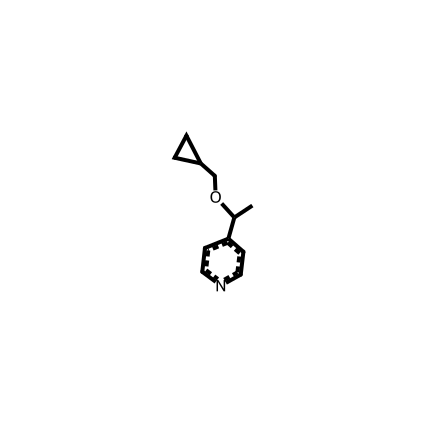 CC(OCC1CC1)c1ccncc1